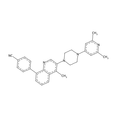 Cc1cc(N2CCN(c3cnc4c(-c5ccc(C#N)cc5)cccc4c3C)CC2)cc(C)n1